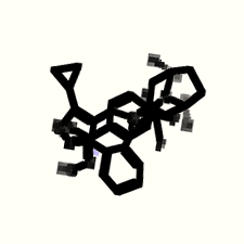 N/C(=N\O)c1ccc(N2[C@@H]3CC[C@H]2C[C@@H](OCc2c(-c4ccccc4OC(F)(F)F)noc2C2CC2)C3)cc1